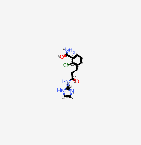 NC(=O)c1cccc(C[CH]C(=O)Nc2ncc[nH]2)c1Cl